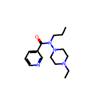 CCCN(C(=O)c1cc[c]nc1)N1CCN(CC)CC1